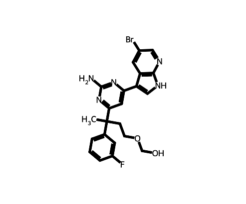 CC(CCOCO)(c1cccc(F)c1)c1cc(-c2c[nH]c3ncc(Br)cc23)nc(N)n1